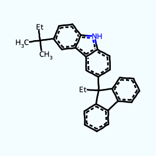 CCC(C)(C)c1ccc2[nH]c3ccc(C4(CC)c5ccccc5-c5ccccc54)cc3c2c1